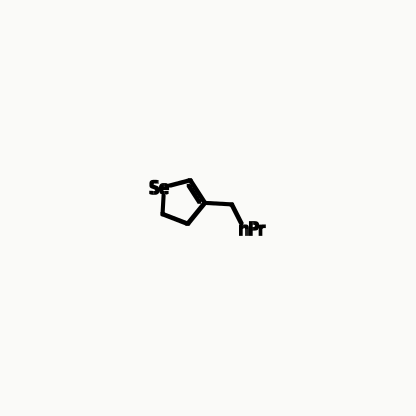 CCCCC1=C[Se]CC1